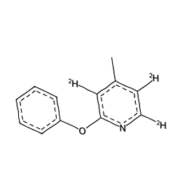 [2H]c1nc(Oc2ccccc2)c([2H])c(C)c1[2H]